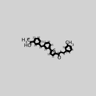 Cc1cccc(CCC(=O)c2ccc(-c3cccc(Cc4cccc(C(C)O)c4)c3)s2)c1